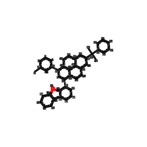 Cc1cccc(-c2cc(-c3cccc4c3oc3ccccc34)c3ccc4cc(C(C)(C)c5ccccc5)cc5ccc2c3c54)c1